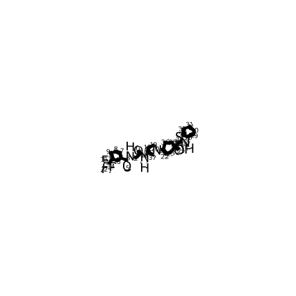 O=C(CNC(=O)c1cccc(C(F)(F)F)c1)N[C@@H]1CCN(C2CCC(O)(c3nc4ccccc4s3)CC2)C1